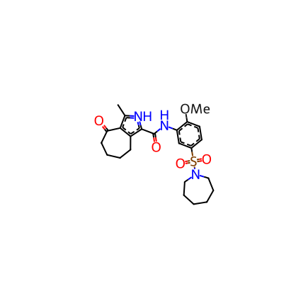 COc1ccc(S(=O)(=O)N2CCCCCC2)cc1NC(=O)c1[nH]c(C)c2c1CCCCC2=O